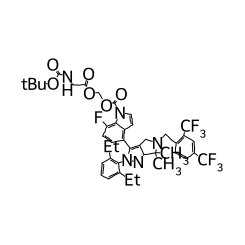 CCc1cccc(CC)c1-n1nc2c(c1-c1ccc(F)c3c1ccn3C(=O)OCOC(=O)CNC(=O)OC(C)(C)C)CN(Cc1ccc(C(F)(F)F)cc1C(F)(F)F)C2(C)C